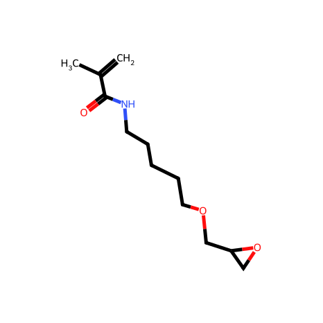 C=C(C)C(=O)NCCCCCOCC1CO1